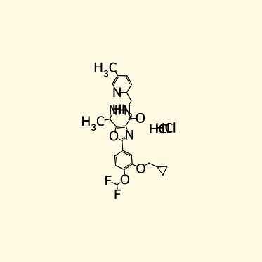 Cc1ccc(CNC(=O)c2nc(-c3ccc(OC(F)F)c(OCC4CC4)c3)oc2C(C)N)nc1.Cl.Cl